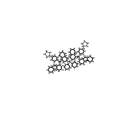 c1ccc(C2(c3ccccc3)c3cc(N(c4ccc(C5CCCC5)cc4)c4cccc5c4oc4ccccc45)c4ccccc4c3-c3c2cc(N(c2ccc(C4CCCC4)cc2)c2cccc4c2oc2ccccc24)c2ccccc32)cc1